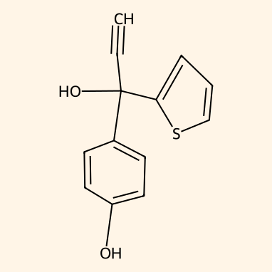 C#CC(O)(c1ccc(O)cc1)c1cccs1